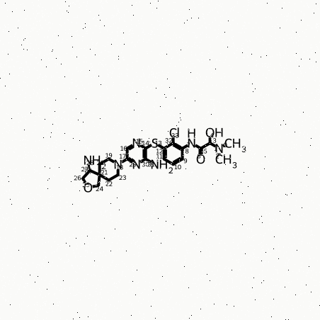 CN(C)C(O)C(=O)Nc1cccc(Sc2ncc(N3CCC4(CC3)COC[C@H]4N)nc2N)c1Cl